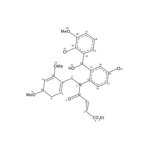 CCOC(=O)/C=C/C(=O)N(CC1=CCC(OC)C=C1OC)c1ccc(Cl)cc1C(O)c1cccc(OC)c1Cl